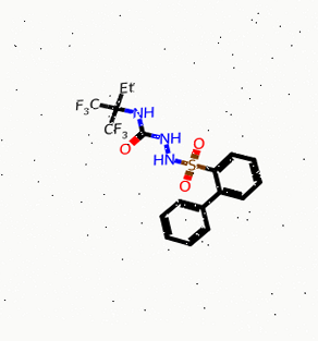 CCC(NC(=O)NNS(=O)(=O)c1ccccc1-c1ccccc1)(C(F)(F)F)C(F)(F)F